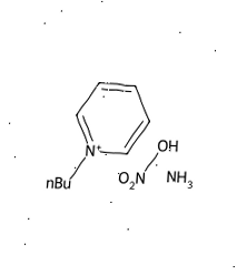 CCCC[n+]1ccccc1.N.O=[N+]([O-])O